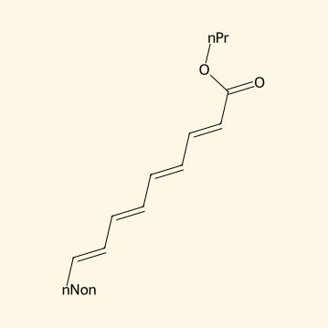 CCCCCCCCCC=CC=CC=CC=CC(=O)OCCC